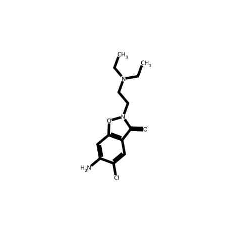 CCN(CC)CCn1oc2cc(N)c(Cl)cc2c1=O